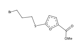 COC(=O)c1ccc(SCCCBr)o1